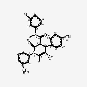 CC(=O)C1=C(C)N(c2cccc(C(F)(F)F)c2)C(=O)C(C(=O)N(C)c2cccc(C)c2)C1c1ccc(C#N)cc1